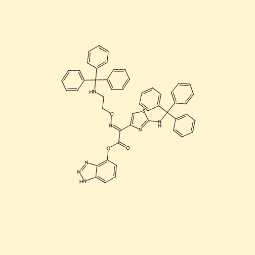 O=C(Oc1cccc2[nH]nnc12)C(=NOCCNC(c1ccccc1)(c1ccccc1)c1ccccc1)c1csc(NC(c2ccccc2)(c2ccccc2)c2ccccc2)n1